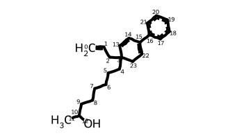 C=CCC1(CCCCCCC(C)O)C=CC(c2ccccc2)=CC1